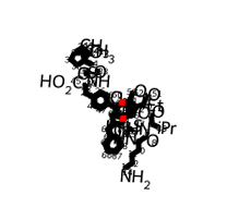 CC[C@@]1(OC(=O)C(NC(=O)C(CCCCN)NC(=S)Nc2cccc(-c3ccc(C[C@H](NS(=O)(=O)CC45CCC(CC4=O)C5(C)C)C(=O)O)cc3)c2)C(C)C)C(=O)OCc2c1cc1n(c2=O)Cc2cc3ccccc3nc2-1